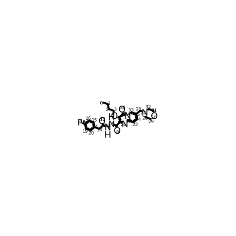 CCCCOc1c(C(=O)NNC(=O)Cc2ccc(F)cc2)nc2ccc(CN3CCOCC3)cn2c1=O